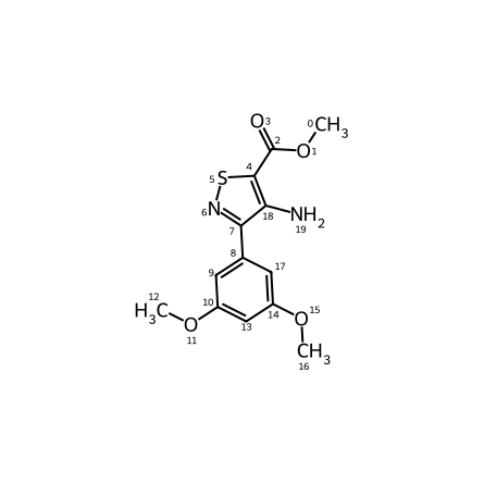 COC(=O)c1snc(-c2cc(OC)cc(OC)c2)c1N